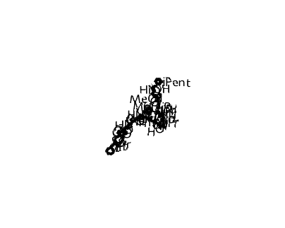 CCCC(C)c1cccc([C@H](O)[C@@H](C)NC(=O)[C@H](C)[C@@H](OC)[C@@H]2CCCN2C(=O)C[C@@H](OC)[C@H]([C@@H](C)CC)N(C)C(=O)[C@@H](NC(=O)[C@H](C(C)C)N(C)C(=O)COCNC(=O)CNC(=O)[C@H](Cc2ccccc2)NC(=O)CNC(=O)CNC(=O)CN2C(=O)C3=C(CSC(CCC)(CC4CCCCCC4)C(CC)SC3)C2=O)C(C)C)c1